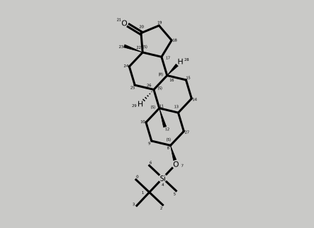 CC(C)(C)[Si](C)(C)O[C@H]1CC[C@@]2(C)C(CC[C@H]3C4CCC(=O)[C@@]4(C)CC[C@@H]32)C1